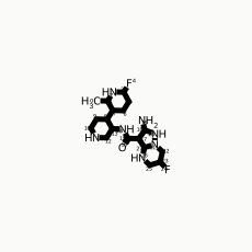 CC1NC(F)CCC1C1CCNCC1NC(=O)C1C(N)NN2CC(F)CNC12